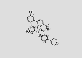 C[C@@H](NC(=O)c1ccnc(C2=CCOCC2)n1)c1ccc(-c2cc(C(F)(F)F)ccc2[C@@H](CO)NC(=O)OC(C)(C)C)cc1